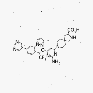 Cc1ccn(-c2cc(-c3cncnc3)ccc2C(Oc2cc(N3CCC4(CC3)CN[C@H](C(=O)O)C4)nc(N)n2)C(F)(F)F)n1